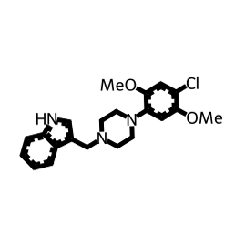 COc1cc(N2CCN(Cc3c[nH]c4ccccc34)CC2)c(OC)cc1Cl